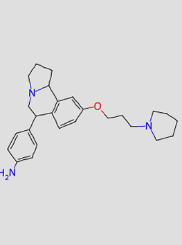 Nc1ccc(C2CN3CCCC3c3cc(OCCCN4CCCCC4)ccc32)cc1